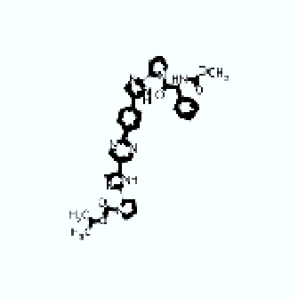 C=C(C)OC(=O)N1CCC[C@H]1c1ncc(-c2cnc(-c3ccc(-c4cnc([C@@H]5CCCN5C(=O)[C@H](NC(=O)OC)c5ccccc5)[nH]4)cc3)nc2)[nH]1